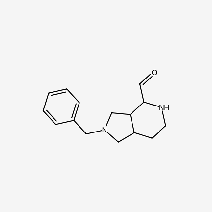 O=CC1NCCC2CN(Cc3ccccc3)CC21